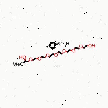 COC(O)COCCOCCOCCOCCOCCOCCOCCO.Cc1ccc(S(=O)(=O)O)cc1